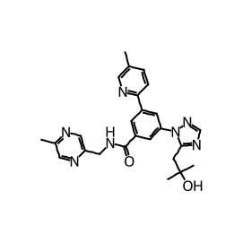 Cc1ccc(-c2cc(C(=O)NCc3cnc(C)cn3)cc(-n3ncnc3CC(C)(C)O)c2)nc1